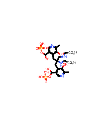 Cc1ncc(C(O)OP(=O)(O)O)c(CC(CNCC(=O)O)(Cc2c(C(O)OP(=O)(O)O)cnc(C)c2O)NCC(=O)O)c1O